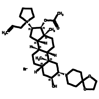 C=CC[N+]1([C@H]2C[C@H]3[C@@H]4CC[C@H]5C[C@H](O)[C@@H](N6CCC7(CC6)OCCO7)C[C@]5(C)[C@H]4CC[C@]3(C)[C@H]2OC(C)=O)CCCC1.[Br-]